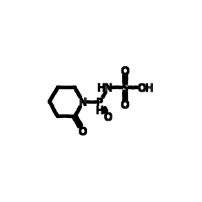 O=C1CCCCN1[PH](=O)NS(=O)(=O)O